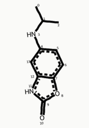 CC(C)Nc1ccc2oc(=O)[nH]c2c1